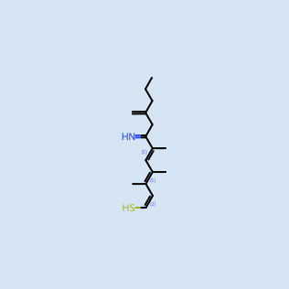 C=C(CCC)CC(=N)/C(C)=C/C(C)=C(C)/C=C\S